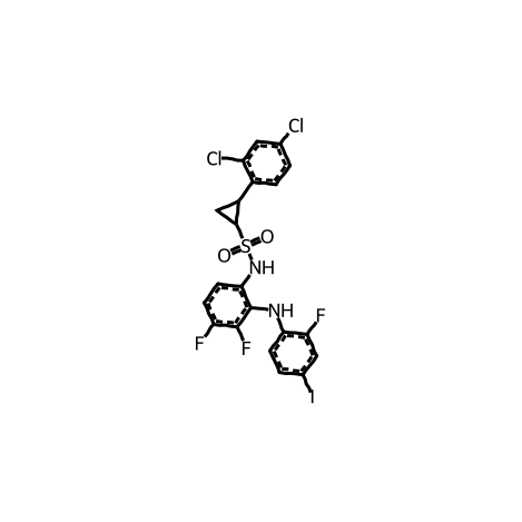 O=S(=O)(Nc1ccc(F)c(F)c1Nc1ccc(I)cc1F)C1CC1c1ccc(Cl)cc1Cl